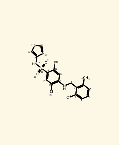 Cc1cccc(Cl)c1CNc1cc(F)c(S(=O)(=O)Nc2cscn2)cc1Cl